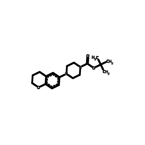 CC(C)(C)OC(=O)N1CCN(c2ccc3c(c2)CCCO3)CC1